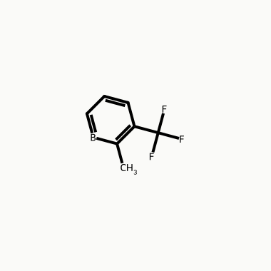 Cc1bcccc1C(F)(F)F